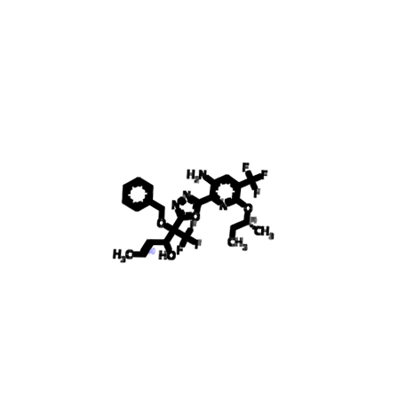 C/C=C/C(O)C(OCc1ccccc1)(c1nnc(-c2nc(O[C@H](C)CC)c(C(F)(F)F)cc2N)o1)C(F)(F)F